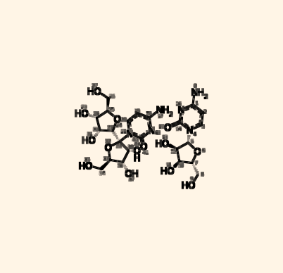 Nc1ccn([C@@H]2O[C@H](CO)[C@@H](O)[C@H]2O)c(=O)n1.Nc1ccn([C@]2(C3O[C@H](CO)[C@@H](O)[C@H]3O)O[C@H](CO)[C@@H](O)[C@H]2O)c(=O)n1